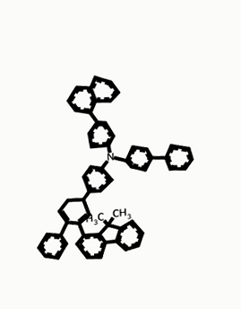 CC1(C)c2ccccc2-c2cccc(C3=CC(c4ccc(N(c5ccc(-c6ccccc6)cc5)c5ccc(-c6cccc7ccccc67)cc5)cc4)CC=C3c3ccccc3)c21